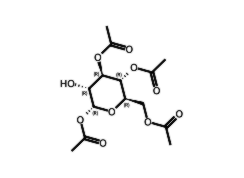 CC(=O)OC[C@H]1O[C@H](OC(C)=O)[C@H](O)[C@@H](OC(C)=O)[C@@H]1OC(C)=O